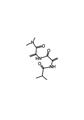 C=C(NC(=O)C(C)C)C(=O)NC(=C)C(=O)N(C)C